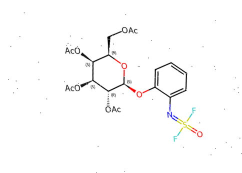 CC(=O)OC[C@H]1O[C@@H](Oc2ccccc2N=S(=O)(F)F)[C@H](OC(C)=O)[C@@H](OC(C)=O)[C@H]1OC(C)=O